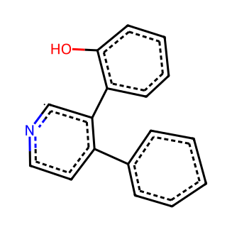 Oc1ccccc1-c1[c]nccc1-c1ccccc1